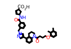 Cc1cccc(OCCCC(=O)N2CCCc3c(-c4cnn(Cc5cccc(C(=O)NC6C=CC(C(=O)O)C6)c5)c4)cccc32)c1C